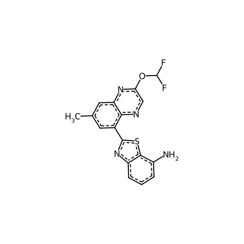 Cc1cc(-c2nc3cccc(N)c3s2)c2ncc(OC(F)F)nc2c1